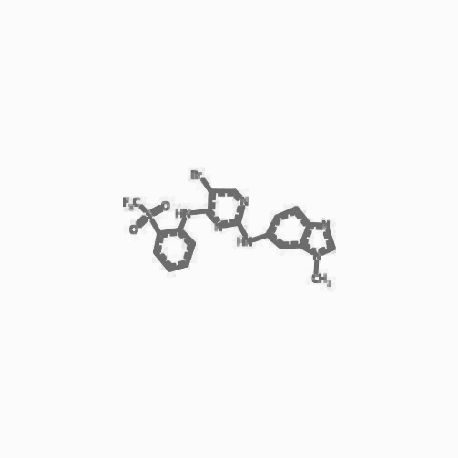 Cn1cnc2ccc(Nc3ncc(Br)c(Nc4ccccc4S(=O)(=O)C(F)(F)F)n3)cc21